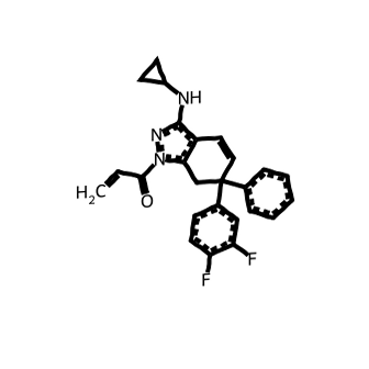 C=CC(=O)n1nc(NC2CC2)c2c1CC(c1ccccc1)(c1ccc(F)c(F)c1)C=C2